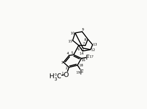 COc1ccc(C23CC4CC(CC(C4)C2)C3)c(F)c1F